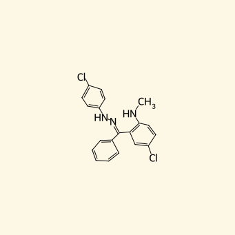 CNc1ccc(Cl)cc1/C(=N/Nc1ccc(Cl)cc1)c1ccccc1